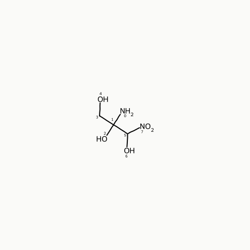 NC(O)(CO)C(O)[N+](=O)[O-]